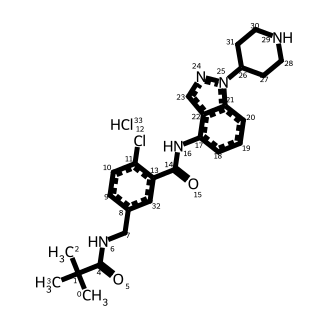 CC(C)(C)C(=O)NCc1ccc(Cl)c(C(=O)Nc2cccc3c2cnn3C2CCNCC2)c1.Cl